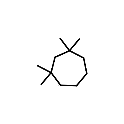 CC1(C)[CH]CCCC(C)(C)C1